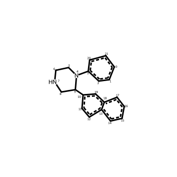 c1ccc(N2CCNCC2c2ccc3ccccc3c2)cc1